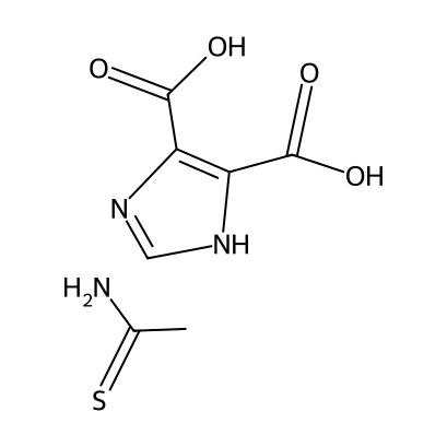 CC(N)=S.O=C(O)c1nc[nH]c1C(=O)O